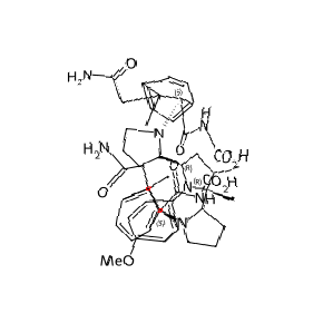 COc1ccc(N2[C@@H](C3CCCN3[C@@]3(C(=O)NC(=O)O)c4ccc(cc4)C3(C)CC(N)=O)CC(C)[C@]2(C)C2CCCN2[C@@]2(C(=O)NC(=O)O)c3ccc(cc3)C2(C)CC(N)=O)cc1